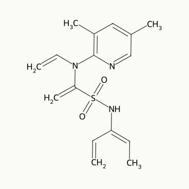 C=C/C(=C\C)NS(=O)(=O)C(=C)N(C=C)c1ncc(C)cc1C